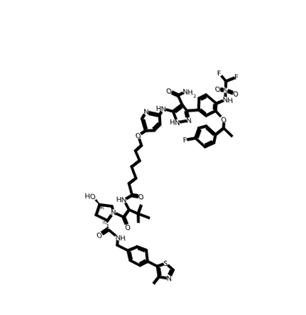 Cc1ncsc1-c1ccc(CNC(=O)[C@@H]2C[C@@H](O)CN2C(=O)C(NC(=O)CCCCCCOc2ccc(Nc3[nH]nc(-c4ccc(NS(=O)(=O)C(F)F)c(OC(C)c5ccc(F)cc5)c4)c3C(N)=O)nc2)C(C)(C)C)cc1